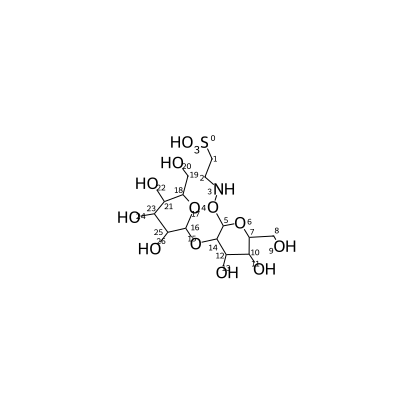 O=S(=O)(O)CCNOC1OC(CO)C(O)C(O)C1OC1OC(CO)C(O)C(O)C1O